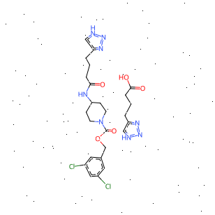 O=C(CCCc1c[nH]nn1)NC1CCN(C(=O)OCc2cc(Cl)cc(Cl)c2)CC1.O=C(O)CCCc1c[nH]nn1